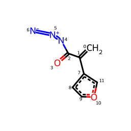 C=C(C(=O)N=[N+]=[N-])c1ccoc1